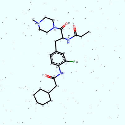 CCC(=O)NC(Cc1ccc(NC(=O)CC2CCCCC2)c(F)c1)C(=O)N1CCN(C)CC1